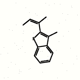 C/C=C(/C)c1sc2ccccc2c1C